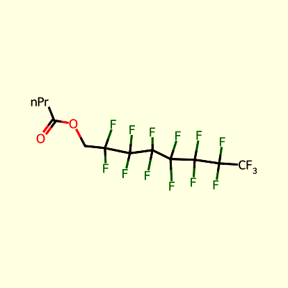 CCCC(=O)OCC(F)(F)C(F)(F)C(F)(F)C(F)(F)C(F)(F)C(F)(F)C(F)(F)F